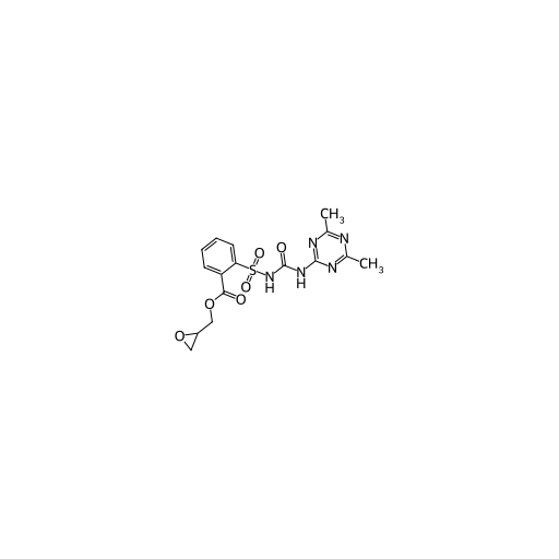 Cc1nc(C)nc(NC(=O)NS(=O)(=O)c2ccccc2C(=O)OCC2CO2)n1